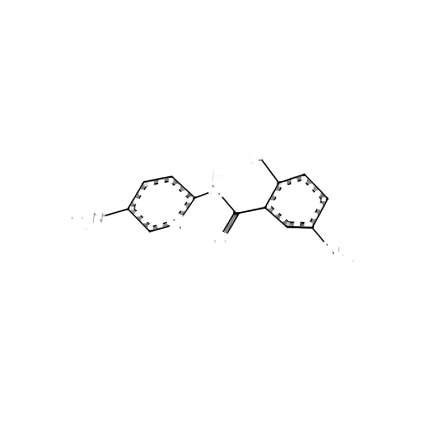 O=C(Nc1ccc([N+](=O)[O-])cn1)c1cc([N+](=O)[O-])ccc1Cl